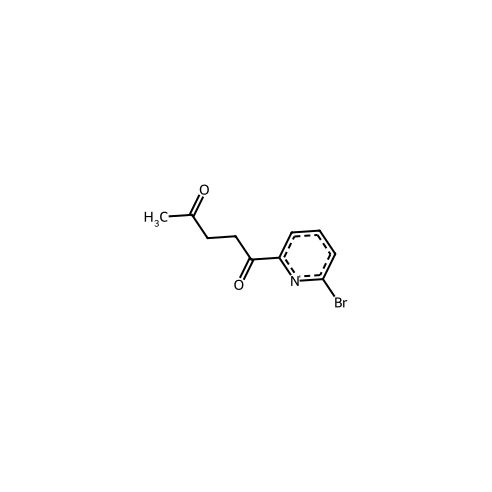 CC(=O)CCC(=O)c1cccc(Br)n1